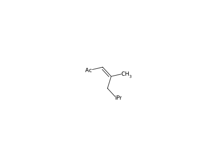 CC(=O)/C=C(/C)CC(C)C